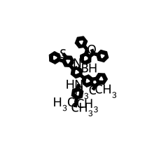 CC(C)(C)c1ccc(Nc2cc3c(cc2-c2ccc4c5cc6c(cc5n5c4c2BC2=CC4C(=C(c7ccccc7)OC4c4ccccc4)C=C25)sc2ccccc26)-c2ccccc2C3(C)C)cc1